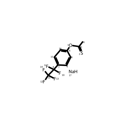 CC(=S)Oc1ccc(C(F)(F)C(F)(F)F)cc1.[NaH]